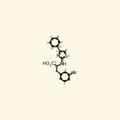 O=C(O)C(Cc1cccc(Br)c1)Nc1nc(-c2ccccc2)cs1